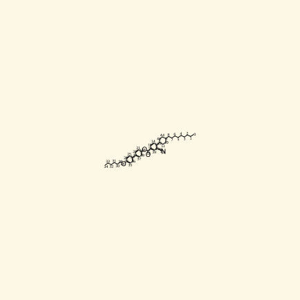 CCCCCCCCCC1CCC(c2ccc(C(=O)Oc3ccc(-c4ccc(OCCCCCC)cc4)cc3)cc2C#N)CC1